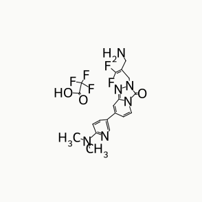 CN(C)c1ccc(-c2ccn3c(=O)n(CC(CN)=C(F)F)nc3c2)cn1.O=C(O)C(F)(F)F